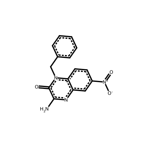 Nc1nc2cc([N+](=O)[O-])ccc2n(Cc2ccccc2)c1=O